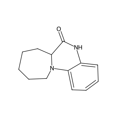 O=C1Nc2ccccc2N2CCCCCC12